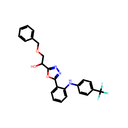 OC(COCc1ccccc1)c1nnc(-c2ccccc2Nc2ccc(C(F)(F)F)cc2)o1